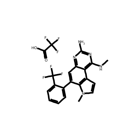 CNc1nc(N)nc2cc(-c3ccccc3C(F)(F)F)c3c(ccn3C)c12.O=C(O)C(F)(F)F